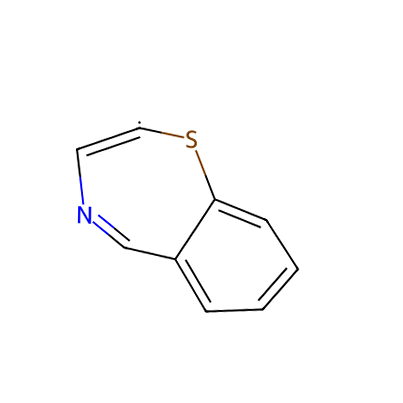 [C]1=CN=Cc2ccccc2S1